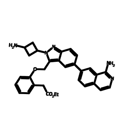 CCOC(=O)Cc1ccccc1OCc1c2cc(-c3ccc4ccnc(N)c4c3)ccc2nn1C1CC(N)C1